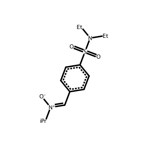 CCN(CC)S(=O)(=O)c1ccc(C=[N+]([O-])C(C)C)cc1